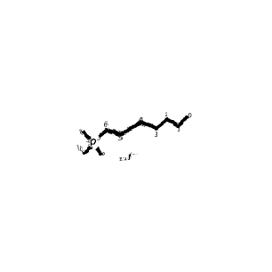 CCCCCCC[P+](C)(C)C.[I-]